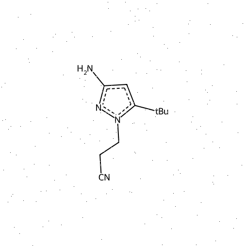 CC(C)(C)c1cc(N)nn1CCC#N